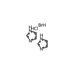 Br.Cl.c1c[nH]cn1.c1c[nH]cn1